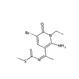 C=C(/N=C(/C)c1cc(Br)c(=O)n(CC)c1N)SC